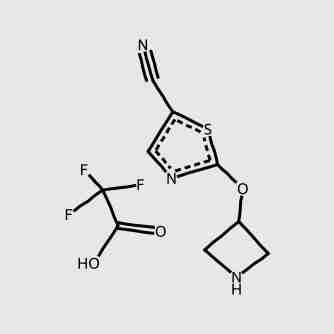 N#Cc1cnc(OC2CNC2)s1.O=C(O)C(F)(F)F